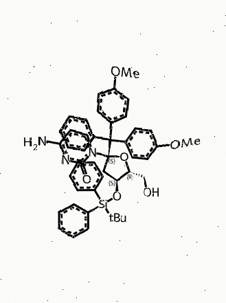 COc1ccc(C(c2ccccc2)(c2ccc(OC)cc2)[C@]2(n3ccc(N)nc3=O)C[C@H](O[Si](c3ccccc3)(c3ccccc3)C(C)(C)C)[C@@H](CO)O2)cc1